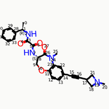 C[C@@H](NC(=O)C(=O)N[C@H]1COc2ccc(C#CC3CN(C)C3)cc2N(C)C1=O)c1ccccc1